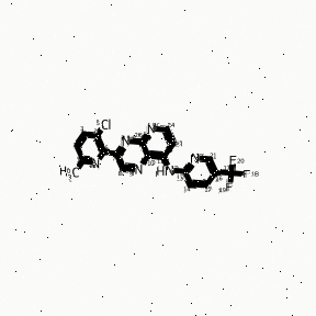 Cc1ccc(Cl)c(-c2cnc3c(Nc4ccc(C(F)(F)F)cn4)ccnc3n2)n1